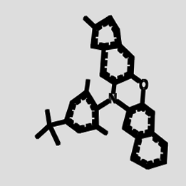 Cc1ccc2cc3c(cc2c1)N(c1c(C)cc(C(C)(C)C)cc1C)c1cc2ccccc2cc1O3